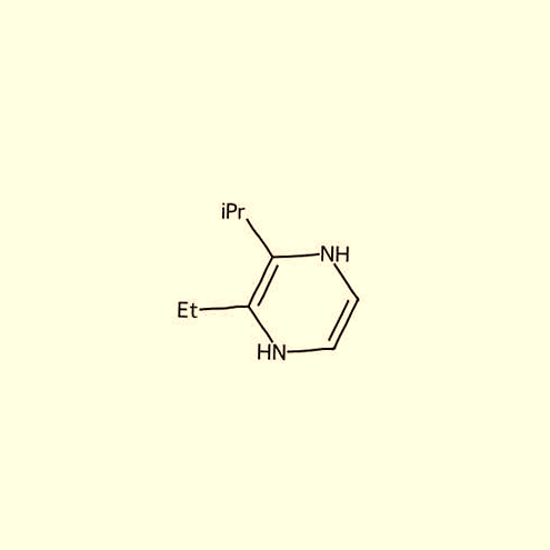 CCC1=C(C(C)C)NC=CN1